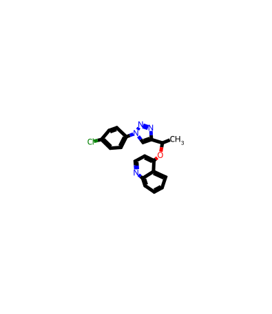 CC(Oc1ccnc2ccccc12)c1cn(-c2ccc(Cl)cc2)nn1